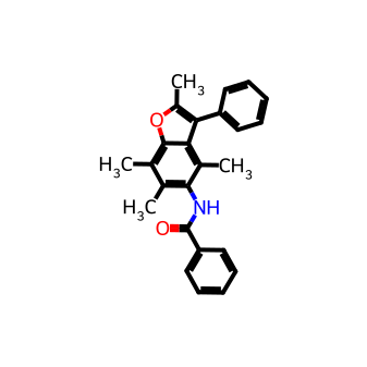 Cc1oc2c(C)c(C)c(NC(=O)c3ccccc3)c(C)c2c1-c1ccccc1